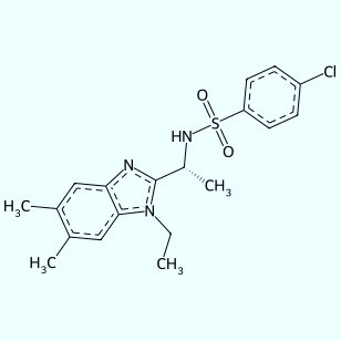 CCn1c([C@@H](C)NS(=O)(=O)c2ccc(Cl)cc2)nc2cc(C)c(C)cc21